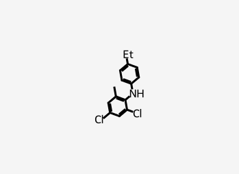 CCc1ccc(Nc2c(C)cc(Cl)cc2Cl)cc1